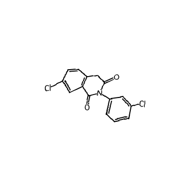 O=C1Cc2ccc(Cl)cc2C(=O)N1c1cccc(Cl)c1